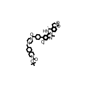 COc1cc2nc(C)nc(N[C@H](C)c3cccc4c3CCS4(=O)=O)c2cc1C1CCC(C(=O)N2CCN(CC3CCC4(CC3)CCN(C(=O)OC(C)(C)C)CC4)CC2)CC1